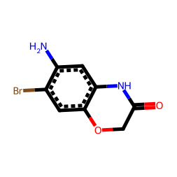 Nc1cc2c(cc1Br)OCC(=O)N2